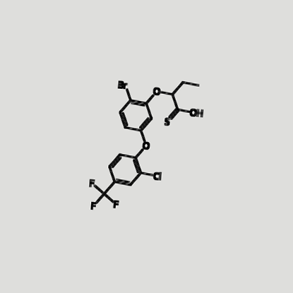 CCC(Oc1cc(Oc2ccc(C(F)(F)F)cc2Cl)ccc1Br)C(O)=S